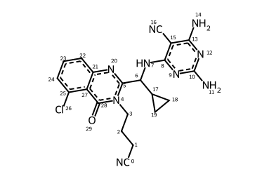 N#CCCCn1c(C(Nc2nc(N)nc(N)c2C#N)C2CC2)nc2cccc(Cl)c2c1=O